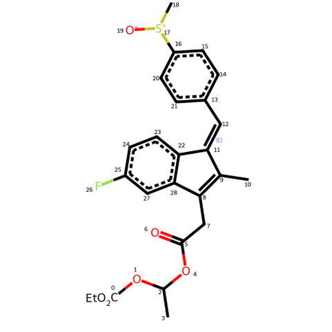 CCOC(=O)OC(C)OC(=O)CC1=C(C)/C(=C/c2ccc([S+](C)[O-])cc2)c2ccc(F)cc21